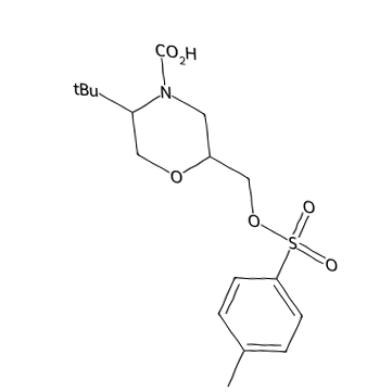 Cc1ccc(S(=O)(=O)OCC2CN(C(=O)O)C(C(C)(C)C)CO2)cc1